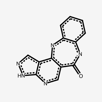 O=c1nc2ccccc2nc2c1cnc1[nH]ncc12